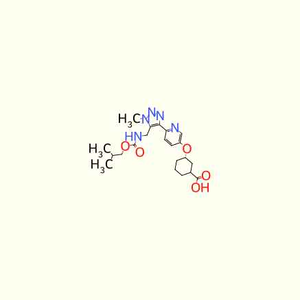 CC(C)COC(=O)NCc1c(-c2ccc(O[C@H]3CCCC(C(=O)O)C3)cn2)nnn1C